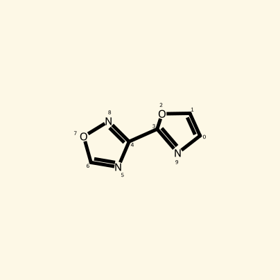 c1coc(-c2ncon2)n1